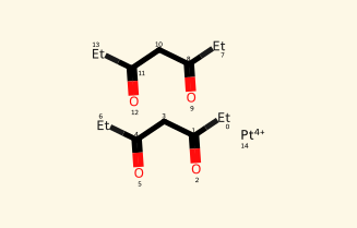 CCC(=O)CC(=O)CC.CCC(=O)CC(=O)CC.[Pt+4]